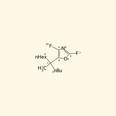 CCCCCCC(C)(CCCC)c1oc(F)nc1F